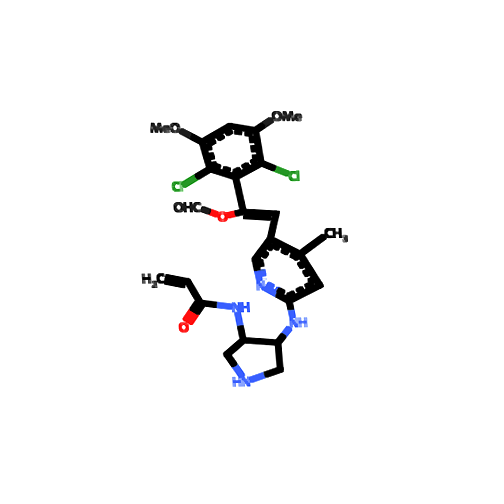 C=CC(=O)NC1CNCC1Nc1cc(C)c(/C=C(\OC=O)c2c(Cl)c(OC)cc(OC)c2Cl)cn1